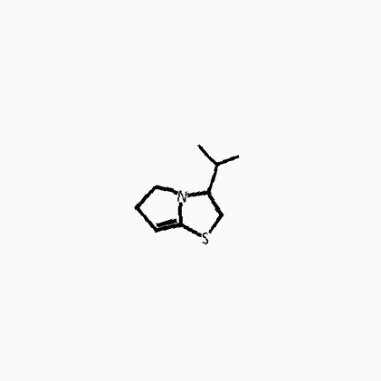 CC(C)C1CSC2=CCCN21